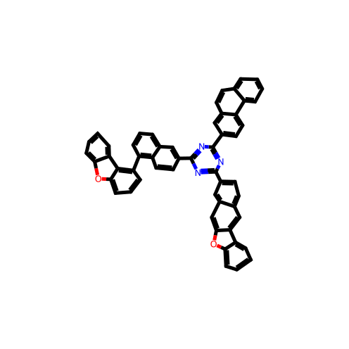 c1cc(-c2cccc3oc4ccccc4c23)c2ccc(-c3nc(-c4ccc5cc6c(cc5c4)oc4ccccc46)nc(-c4ccc5c(ccc6ccccc65)c4)n3)cc2c1